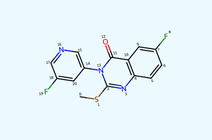 CSc1nc2ccc(F)cc2c(=O)n1-c1cncc(F)c1